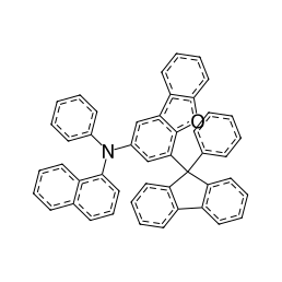 c1ccc(N(c2cc(C3(c4ccccc4)c4ccccc4-c4ccccc43)c3oc4ccccc4c3c2)c2cccc3ccccc23)cc1